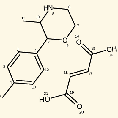 Cc1ccc(C2OCCNC2C)cc1.O=C(O)/C=C/C(=O)O